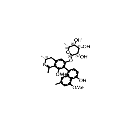 COc1c2c(cc(O[C@H]3O[C@H](C)[C@@H](O)[C@H](O)[C@@H]3O)c1-c1ccc(O)c3c(OC)cc(C)cc13)C[C@@H](C)N=C2C